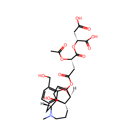 CC(=O)O[C@@H](CC(=O)OC1=CC[C@@]2(O)[C@H]3Cc4ccc(CO)c5c4[C@@]2(CCCN3C)[C@H]1O5)C(=O)O[C@H](CC(=O)O)C(=O)O